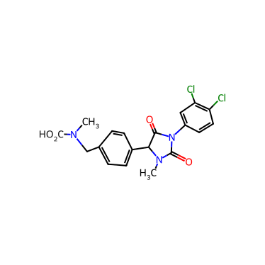 CN(Cc1ccc(C2C(=O)N(c3ccc(Cl)c(Cl)c3)C(=O)N2C)cc1)C(=O)O